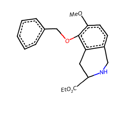 CCOC(=O)C1Cc2c(ccc(OC)c2OCc2ccccc2)CN1